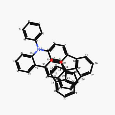 c1ccc(N(c2ccc3c(c2)C24c5ccccc5-c5cccc(c52)-c2cccc-3c24)c2ccccc2-c2ccc3ccccc3c2)cc1